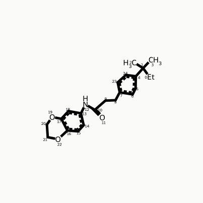 CCC(C)(C)c1ccc(CCC(=O)Nc2ccc3c(c2)OCCO3)cc1